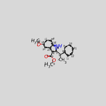 COC(=O)c1c(C(C)c2ccccc2)[nH]c2ccc(OC)cc12